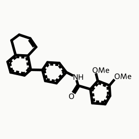 COc1cccc(C(=O)Nc2ccc(-c3cccc4c3C=CCC4)cc2)c1OC